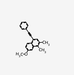 COc1ccc2c(C#Cc3ccccc3)cc(C)c(C)c2c1